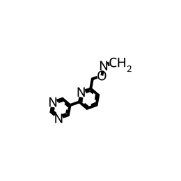 C=NOCc1cccc(-c2cncnc2)n1